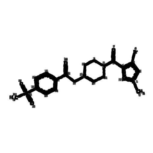 Cn1cc(Br)c(C(=O)N2CCN(CC(=O)c3ccc(S(C)(=O)=O)cc3)CC2)n1